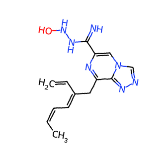 C=C/C(=C\C=C/C)Cc1nc(C(=N)NNO)cn2cnnc12